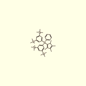 CC1=C(C)C(C)C([Si](c2ccccc2)(c2cc([Si](C)(C)C)cc([Si](C)(C)C)c2)c2cc([Si](C)(C)C)cc([Si](C)(C)C)c2)=C1C